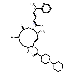 C/C(=C\C=C\[C@@H](C)c1ccccn1)[C@H]1OC(=O)C[C@H](O)CC[C@H](C)[C@@H](OC(=O)N2CCN(C3CCOCC3)CC2)/C=C/[C@@H]1C